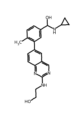 Cc1ccc(C(O)NC2CC2)cc1-c1ccc2nc(NCCO)ncc2c1